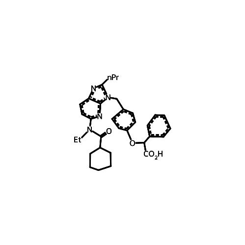 CCCc1nc2ccc(N(CC)C(=O)C3CCCCC3)nc2n1Cc1ccc(OC(C(=O)O)c2ccccc2)cc1